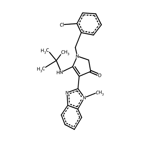 Cn1c(C2=C(NC(C)(C)C)N(Cc3ccccc3Cl)CC2=O)nc2ccccc21